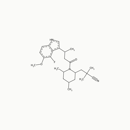 COc1ccc2[nH]cc(C(C)CC(=O)N3C(C)CC(C)CC3CC(C)(C)C#N)c2c1F